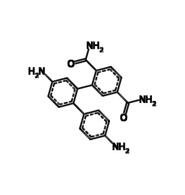 NC(=O)c1ccc(C(N)=O)c(-c2cc(N)ccc2-c2ccc(N)cc2)c1